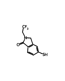 O=C1c2ccc(S)cc2CN1CC(F)(F)F